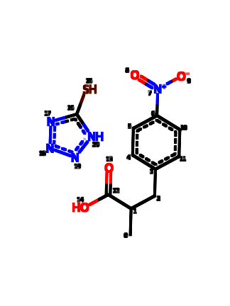 CC(Cc1ccc([N+](=O)[O-])cc1)C(=O)O.Sc1nnn[nH]1